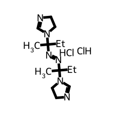 CCC(C)(/N=N/C(C)(CC)N1C=NCC1)N1C=NCC1.Cl.Cl